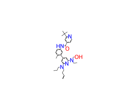 C=CCCN(CCC)c1cc(-c2cc(NC(=O)c3ccnc(C(C)(C)C)c3)ccc2C)cc(N(CC)CO)n1